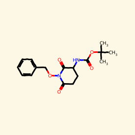 CC(C)(C)OC(=O)NC1CCC(=O)N(OCc2ccccc2)C1=O